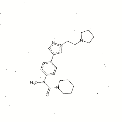 CN(C(=O)N1CCCCC1)c1ccc(-c2cnn(CCN3CCCC3)c2)cc1